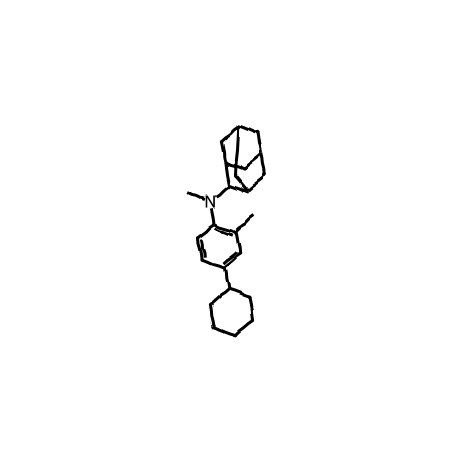 Cc1cc(C2CCCCC2)ccc1N(C)C1C2CC3CC(C2)CC1C3